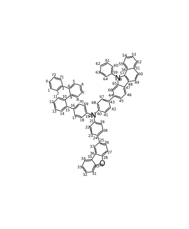 c1ccc(-c2ccccc2-c2ccccc2-c2ccc(N(c3ccc(-c4ccc5oc6ccccc6c5c4)cc3)c3ccc(-c4ccc5c6ccc7ccccc7c6n(-c6ccccc6)c5c4)cc3)cc2)cc1